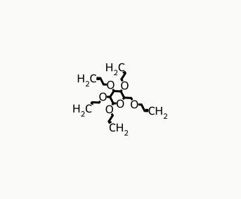 C=CCOCC1OC(OCC=C)C(OCC=C)C(OCC=C)C1OCC=C